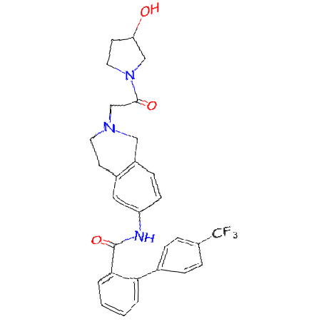 O=C(Nc1ccc2c(c1)CCN(CC(=O)N1CCC(O)C1)C2)c1ccccc1-c1ccc(C(F)(F)F)cc1